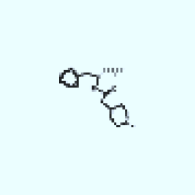 CCOC(=O)[C@@H](Cc1ccccc1)NC(=O)CC1CCN(C)CC1